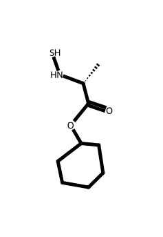 C[C@@H](NS)C(=O)OC1CCCCC1